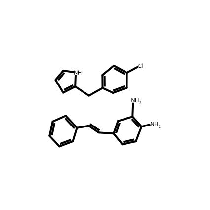 Clc1ccc(Cc2ccc[nH]2)cc1.Nc1ccc(C=Cc2ccccc2)cc1N